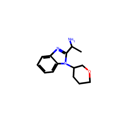 CC(N)c1nc2ccccc2n1C1CCCOC1